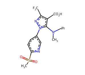 CC(C)N(C)c1c(C(=O)O)c(C(F)(F)F)nn1-c1ccc(S(C)(=O)=O)nc1